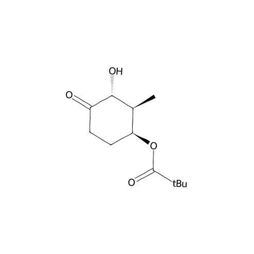 C[C@H]1[C@@H](OC(=O)C(C)(C)C)CCC(=O)[C@@H]1O